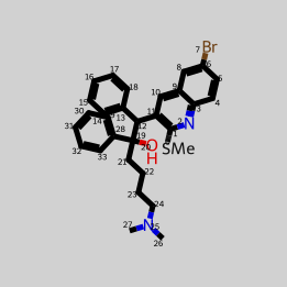 CSc1nc2ccc(Br)cc2cc1C(c1ccccc1)C(O)(CCCCN(C)C)c1ccccc1